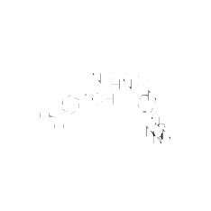 Cc1c([C@@H](O)CN2CCC(CNC(=O)c3ccc(-n4cnnn4)cn3)C2)ccc2c1COC2=O